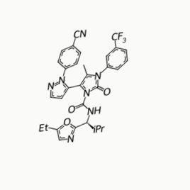 CCc1cnc([C@@H](NC(=O)n2c(-c3ccnn3-c3ccc(C#N)cc3)c(C)n(-c3cccc(C(F)(F)F)c3)c2=O)C(C)C)o1